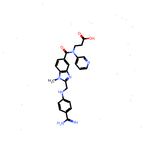 Cn1c(CNc2ccc(C(=N)N)cc2)nc2cc(C(=O)N(CCC(=O)O)c3cccnc3)ccc21